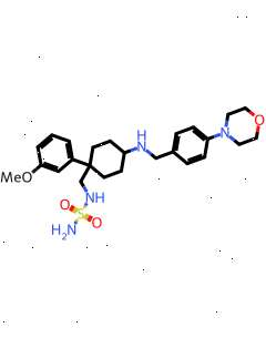 COc1cccc(C2(CNS(N)(=O)=O)CCC(NCc3ccc(N4CCOCC4)cc3)CC2)c1